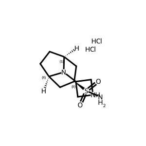 Cl.Cl.NS(=O)(=O)[C@H]1C[C@H]2CC[C@@H](C1)N2C1CNC1